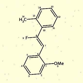 COc1ccccc1C=C(F)c1ccccc1C